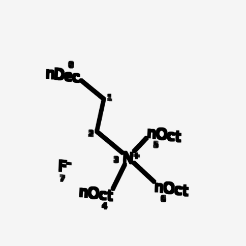 CCCCCCCCCCCC[N+](CCCCCCCC)(CCCCCCCC)CCCCCCCC.[F-]